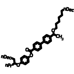 CCCCCCCCCCCCCCCCOC(C)c1ccc(-c2ccc(C(=O)Oc3ccc(OC(CCC)CCCCCCCCCCC)cc3)cc2)cc1